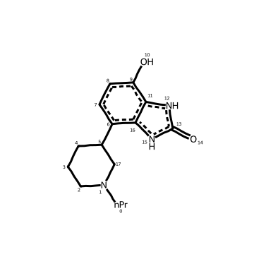 CCCN1CCCC(c2ccc(O)c3[nH]c(=O)[nH]c23)C1